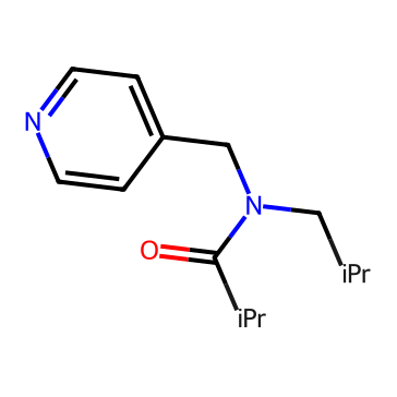 CC(C)CN(Cc1ccncc1)C(=O)C(C)C